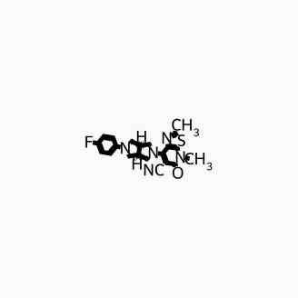 Cc1nc2c(N3C[C@H]4CN(c5ccc(F)cc5)C[C@@H]4C3)c(C#N)c(=O)n(C)c2s1